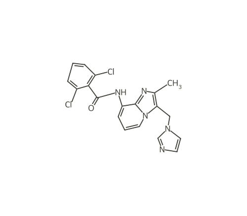 Cc1nc2c(NC(=O)c3c(Cl)cccc3Cl)cccn2c1Cn1ccnc1